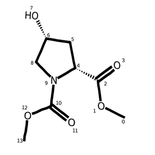 COC(=O)[C@H]1C[C@@H](O)CN1C(=O)OC